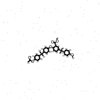 COC(=O)c1cc(C(C)(C)c2ccc(OC)cc2)ccc1Oc1ccc(C(C)(C)c2ccc(OC(C)=O)cc2)cc1